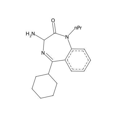 CCCN1C(=O)C(N)N=C(C2CCCCC2)c2ccccc21